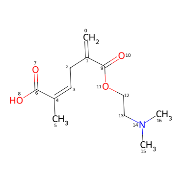 C=C(CC=C(C)C(=O)O)C(=O)OCCN(C)C